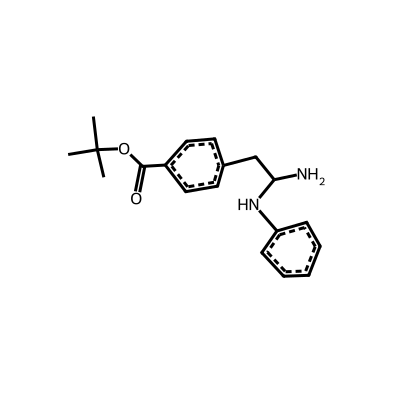 CC(C)(C)OC(=O)c1ccc(CC(N)Nc2ccccc2)cc1